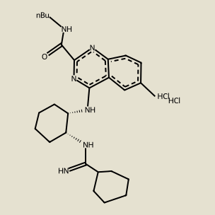 CCCCNC(=O)c1nc(N[C@H]2CCCC[C@H]2NC(=N)C2CCCCC2)c2cc(C)ccc2n1.Cl.Cl